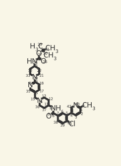 Cc1ccc(-c2cc(C(=O)NC3CCN(Cc4ccc(N5CCC(NC(=O)OC(C)(C)C)CC5)nc4)CC3)ccc2Cl)cn1